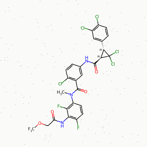 CN(C(=O)c1cc(NC(=O)[C@H]2[C@H](c3ccc(Cl)c(Cl)c3)C2(Cl)Cl)ccc1Cl)c1ccc(F)c(NC(=O)COC(F)(F)F)c1F